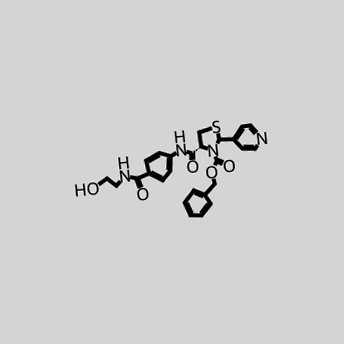 O=C(NCCO)c1ccc(NC(=O)[C@@H]2CSC(c3ccncc3)N2C(=O)OCc2ccccc2)cc1